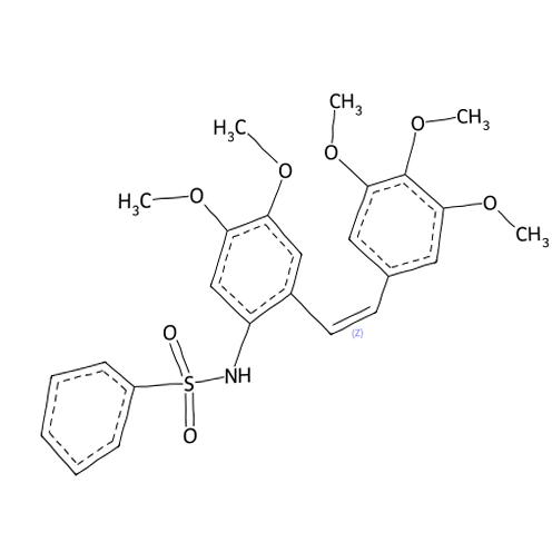 COc1cc(/C=C\c2cc(OC)c(OC)c(OC)c2)c(NS(=O)(=O)c2ccccc2)cc1OC